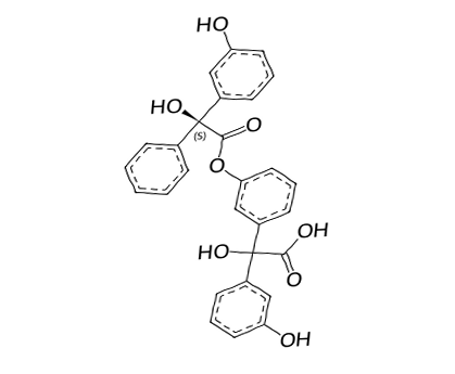 O=C(O)C(O)(c1cccc(O)c1)c1cccc(OC(=O)[C@](O)(c2ccccc2)c2cccc(O)c2)c1